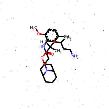 COc1ccc(C)cc1NC(=O)OC1CC2CCCC(C1)N2CCCC(C)(C)CC(C)CCN